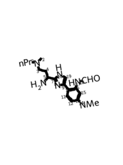 CCCN(C)CCC(N)c1nc(-c2ccc(NC)cc2NC=O)c[nH]1